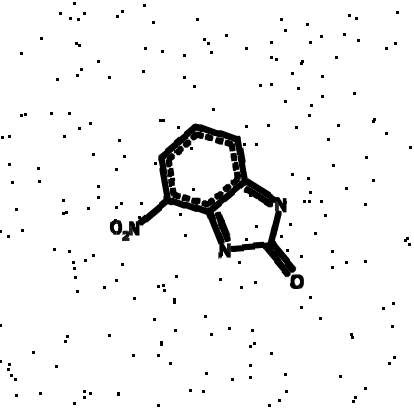 O=C1N=c2cccc([N+](=O)[O-])c2=N1